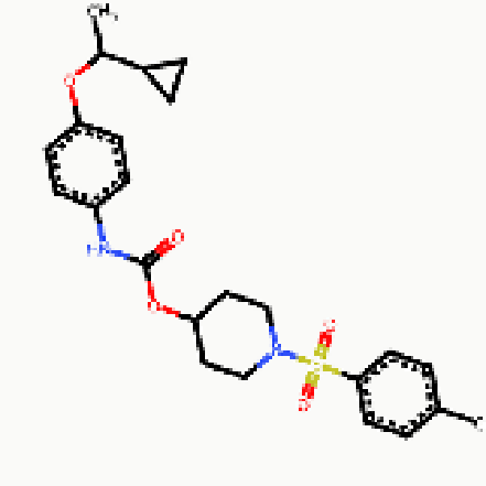 Cc1ccc(S(=O)(=O)N2CCC(OC(=O)Nc3ccc(OC(C)C4CC4)cc3)CC2)cc1